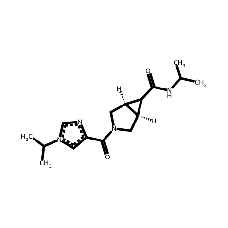 CC(C)NC(=O)C1[C@H]2CN(C(=O)c3cn(C(C)C)cn3)C[C@@H]12